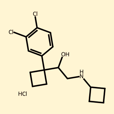 Cl.OC(CNC1CCC1)C1(c2ccc(Cl)c(Cl)c2)CCC1